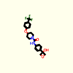 O=C(Nc1ccc(C2(O)COC2)cc1)N1CCC(Oc2ccc(C(F)(F)F)cc2)CC1